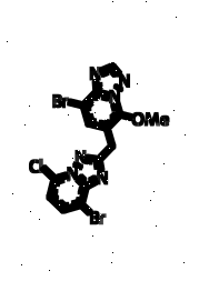 COc1c(Cc2nc3c(Br)ccc(Cl)n3n2)cc(Br)c2ncnn12